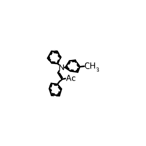 CC(=O)/C(=C\N(c1ccccc1)c1ccc(C)cc1)c1ccccc1